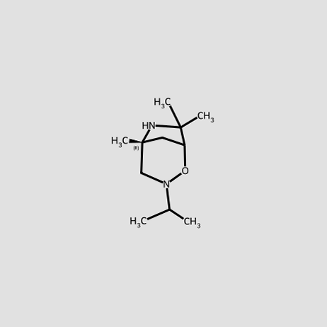 CC(C)N1C[C@@]2(C)CC(O1)C(C)(C)N2